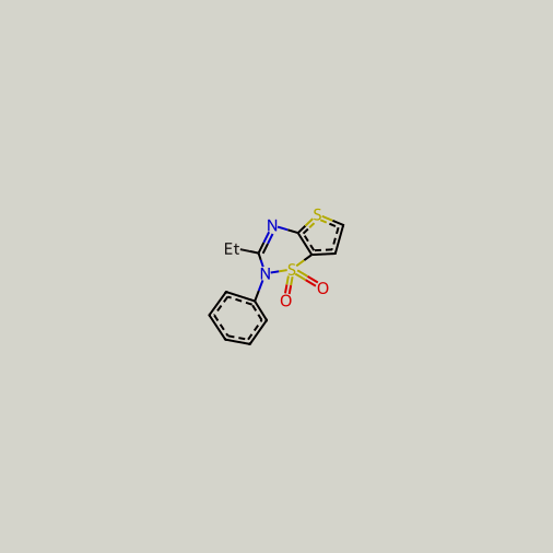 CCC1=Nc2sccc2S(=O)(=O)N1c1ccccc1